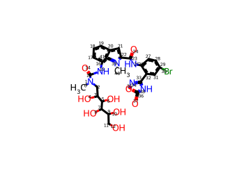 CN(CC(O)C(O)C(O)C(O)CO)C(=O)Nc1cccc2cc(C(=O)Nc3ccc(Br)cc3-c3noc(=O)[nH]3)n(C)c12